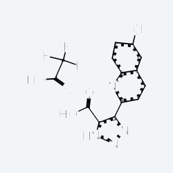 O=C(O)C(F)(F)F.O=C(O)c1[nH]nnc1-c1ccc2cc(Cl)ccc2n1